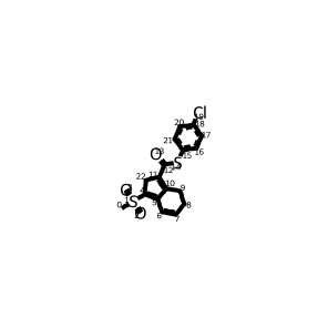 CS(=O)(=O)C1=C2C=CCCC2=C(C(=O)Sc2ccc(Cl)cc2)C1